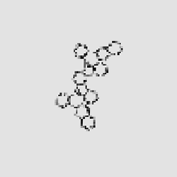 c1ccc(-n2c3ccccc3c3c4c5ccccc5n(-c5ccccc5-c5ccc6ccccc6c5)c4ccc32)c(-c2ccc3ccccc3c2)c1